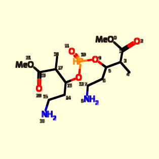 COC(=O)C(C)C(CCN)O[PH](=O)OC(CCN)C(C)C(=O)OC